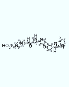 Cc1ccc(F)c(NC(=O)Nc2ccc(Oc3ccnc(-c4cc(C(=O)NCCN5CCN(CC(=O)O)CC5)c[nH]4)c3)cc2)c1